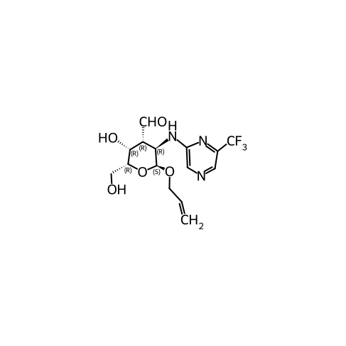 C=CCO[C@H]1O[C@H](CO)[C@H](O)[C@H](C=O)[C@H]1Nc1cncc(C(F)(F)F)n1